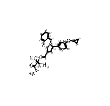 COC(=O)C(C)(C)OCc1cc(-c2cc(OC3CC3)cs2)n(Cc2ccccc2Cl)n1